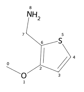 COc1ccsc1CN